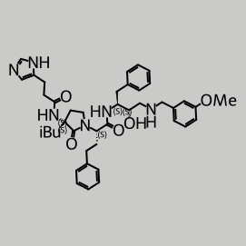 CC[C@H](C)[C@@]1(NC(=O)CCc2cnc[nH]2)CCN([C@@H](CCc2ccccc2)C(=O)N[C@@H](Cc2ccccc2)[C@@H](O)CNCc2cccc(OC)c2)C1=O